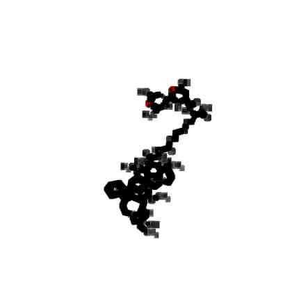 CC[C@]1(O)C[C@H]2CN(CCc3c([nH]c4ccccc34)[C@@](C(=O)OC)(c3cc4c(cc3OC)N(C)[C@H]3[C@](O)(C(=O)NNC(=O)OCCSSC[C@@H](NC(=O)C(CC(=O)O)NC(=O)[C@@H](CC(=O)O)NC(C)=O)C(=O)O)[C@H](O)[C@]5(CC)C=CCN6CC[C@]43[C@@H]65)C2)C1